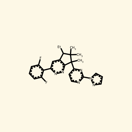 CCC1c2cc(-c3c(F)cccc3F)nnc2C(C)(c2ccnc(-n3cccn3)n2)C1(C)C